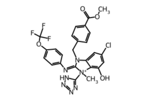 COC(=O)c1ccc(CN2C(=Nc3ccc(OC(F)(F)F)cc3)[N+](C)(c3nnn[nH]3)c3c(O)cc(Cl)cc32)cc1